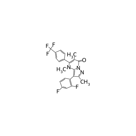 Cc1nn2c(=O)c(C)c(-c3ccc(C(F)(F)F)cc3)n(C)c2c1-c1ccc(F)cc1F